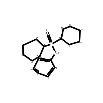 O=P(Sc1ccccc1)(C1CCCCC1)C1CCCCC1